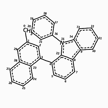 Cc1cc(-c2cccc3c4ccccc4n(-c4ccccc4)c23)c2ccccc2c1